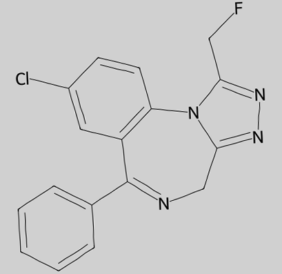 FCc1nnc2n1-c1ccc(Cl)cc1C(c1ccccc1)=NC2